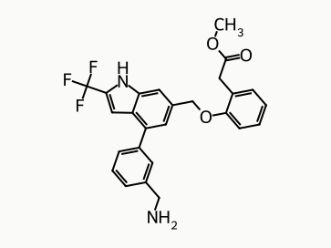 COC(=O)Cc1ccccc1OCc1cc(-c2cccc(CN)c2)c2cc(C(F)(F)F)[nH]c2c1